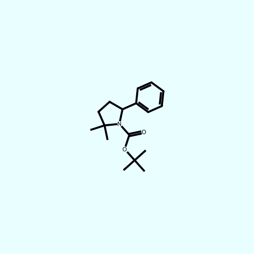 CC(C)(C)OC(=O)N1C(c2ccccc2)CCC1(C)C